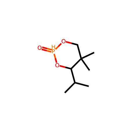 CC(C)C1O[PH](=O)OCC1(C)C